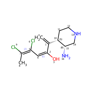 C=C(/C(O)=C\C(Cl)=C(/C)Cl)[C@@H]1CCNC[C@@H]1N